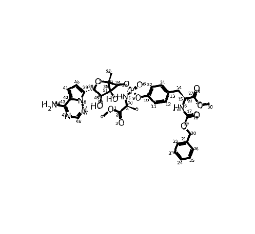 COC(=O)[C@H](C)NP(=O)(Oc1ccc(C[C@H](NC(=O)OCc2ccccc2)C(=O)OC)cc1)OC1[C@@]2(C)O[C@@H](c3ccc4c(N)ncnn34)[C@H](O)[C@@]12O